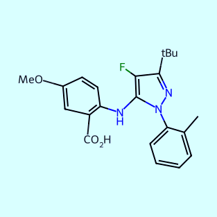 COc1ccc(Nc2c(F)c(C(C)(C)C)nn2-c2ccccc2C)c(C(=O)O)c1